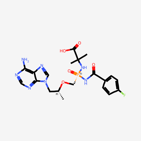 C[C@H](Cn1cnc2c(N)ncnc21)OC[P@@](=O)(NC(=O)c1ccc(F)cc1)NC(C)(C)C(=O)O